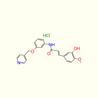 COc1ccc(/C=C/C(=O)Nc2cccc(OCc3ccncc3)c2)cc1O.Cl